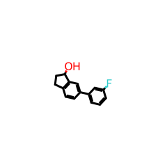 OC1CCc2ccc(-c3cccc(F)c3)cc21